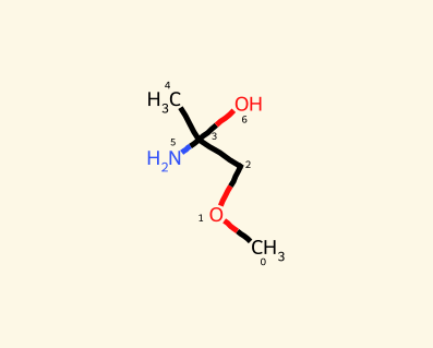 COCC(C)(N)O